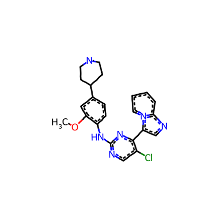 COc1cc(C2CC[N]CC2)ccc1Nc1ncc(Cl)c(-c2cnc3ccccn23)n1